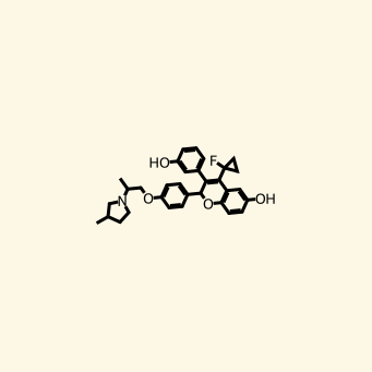 CC1CCN(C(C)COc2ccc(C3Oc4ccc(O)cc4C(C4(F)CC4)=C3c3cccc(O)c3)cc2)C1